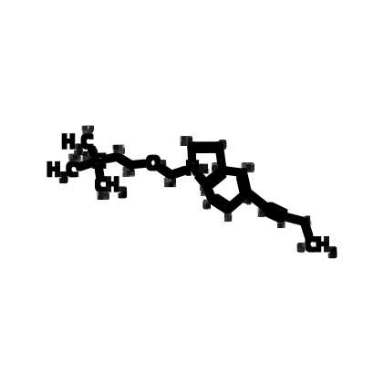 CCC#Cc1ccc2c(ccn2COCC[Si](C)(C)C)c1